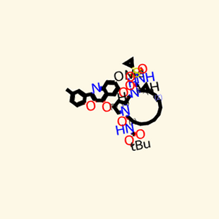 COc1ccc2c(O[C@@H]3C[C@H]4C(=O)N[C@]5(C(=O)NS(=O)(=O)C6CC6)C[C@H]5/C=C\CCCCC[C@H](NC(=O)OC(C)(C)C)C(=O)N4C3)c3oc4ccc(C)cc4c3nc2c1